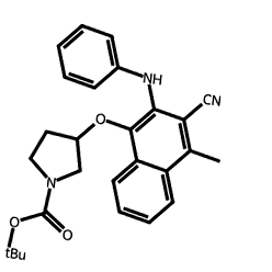 Cc1c(C#N)c(Nc2ccccc2)c(OC2CCN(C(=O)OC(C)(C)C)C2)c2ccccc12